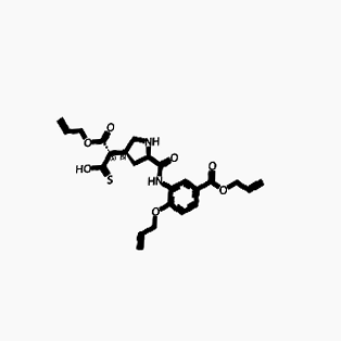 C=CCOC(=O)c1ccc(OCC=C)c(NC(=O)C2C[C@@H]([C@@H](C(=O)OCC=C)C(O)=S)CN2)c1